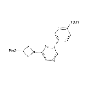 COC1CN(c2cncc(-c3ccc(C(=O)O)cc3)n2)C1